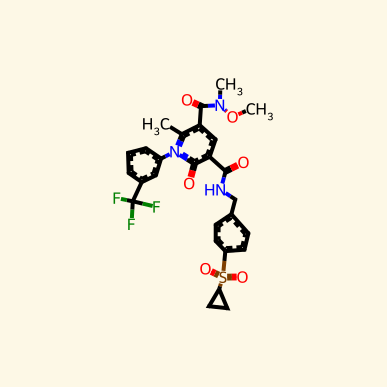 CON(C)C(=O)c1cc(C(=O)NCc2ccc(S(=O)(=O)C3CC3)cc2)c(=O)n(-c2cccc(C(F)(F)F)c2)c1C